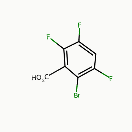 O=C(O)c1c(F)c(F)cc(F)c1Br